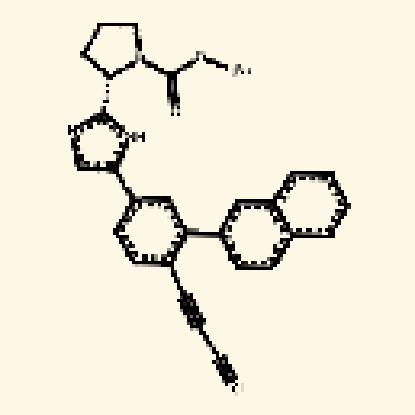 C#CC#Cc1ccc(-c2cnc([C@@H]3CCCN3C(=O)OC(C)(C)C)[nH]2)cc1-c1ccc2ccccc2c1